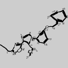 CCc1noc(-c2ncn(-c3cccc(OCc4ccccc4)c3)c2COC)n1